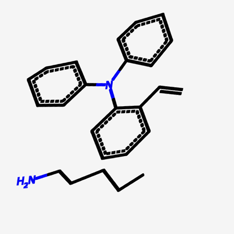 C=Cc1ccccc1N(c1ccccc1)c1ccccc1.CCCCCN